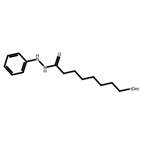 CCCCCCCCCCCCCCCCCC(=O)NNc1ccccc1